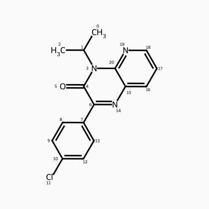 CC(C)n1c(=O)c(-c2ccc(Cl)cc2)nc2cccnc21